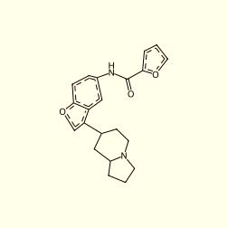 O=C(Nc1ccc2occ(C3CCN4CCCC4C3)c2c1)c1ccco1